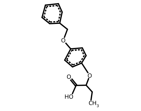 CCC(Oc1ccc(OCc2ccccc2)cc1)C(=O)O